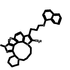 CCc1c2c(nn1C)C1CCCCN1CCCCn1c(C(=O)O)c(CCCOc3cccc4ccccc34)c3ccc(Cl)c-2c31